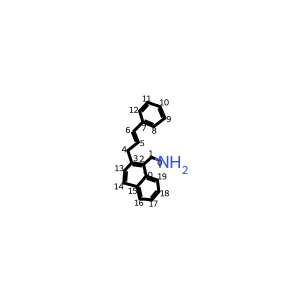 NCc1c(CC=Cc2ccccc2)ccc2ccccc12